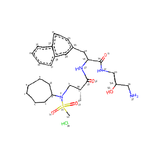 C[C@H](CN(C1CCCCCC1)S(C)(=O)=O)C(=O)NC(Cc1ccc2ccccc2c1)C(=O)NCC(O)CN.Cl